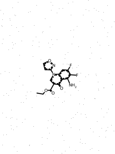 CCOC(=O)c1cn(-c2ccon2)c2cc(F)c(F)c(N)c2c1=O